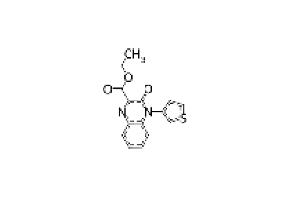 CCOC(=O)c1nc2ccccc2n(-c2ccsc2)c1=O